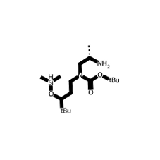 C[C@H](N)CN(CCC(O[SiH](C)C)C(C)(C)C)C(=O)OC(C)(C)C